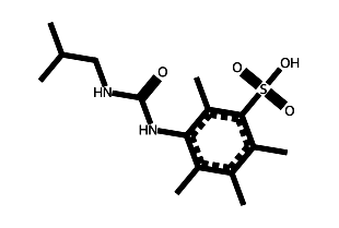 Cc1c(C)c(NC(=O)NCC(C)C)c(C)c(S(=O)(=O)O)c1C